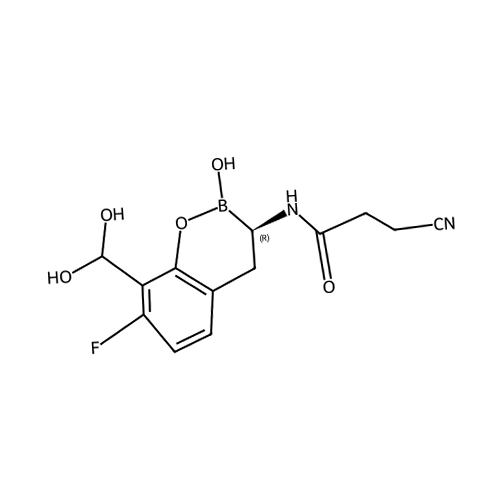 N#CCCC(=O)N[C@H]1Cc2ccc(F)c(C(O)O)c2OB1O